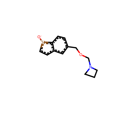 [O-][s+]1ccc2cc(COCN3CCC3)ccc21